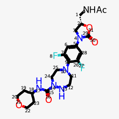 CC(=O)NC[C@H]1CN(c2cc(F)c(N3CCNN(C(=O)NC4CCOCC4)CC3)c(F)c2)C(=O)O1